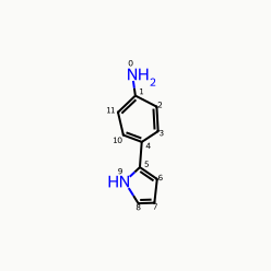 Nc1ccc(-c2ccc[nH]2)cc1